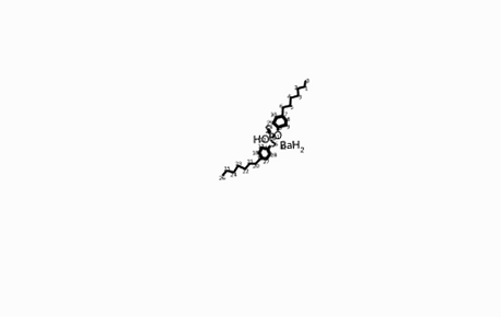 CCCCCCCc1ccc(OP(O)(=S)Sc2ccc(CCCCCCC)cc2)cc1.[BaH2]